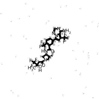 CC(O)(CC(=O)N1C[C@H](F)[C@H](NC(=O)c2cc(-c3cc(C(F)(F)F)c4c(N)ncnn34)ccc2C(F)(F)F)C1)C(F)(F)F